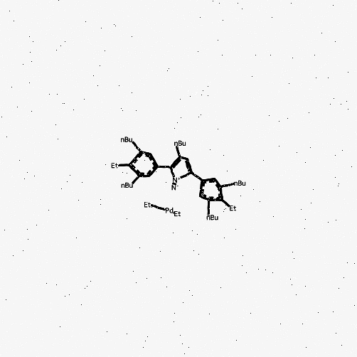 CCCCC1=C(c2cc(CCCC)c(CC)c(CCCC)c2)[N+](=[N-])C(c2cc(CCCC)c(CC)c(CCCC)c2)=C1.C[CH2][Pd][CH2]C